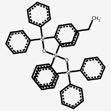 [CH2]CCCC[Si](O[Si](c1ccccc1)(c1ccccc1)c1ccccc1)(O[Si](c1ccccc1)(c1ccccc1)c1ccccc1)c1ccccc1